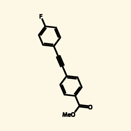 COC(=O)c1ccc(C#Cc2ccc(F)cc2)cc1